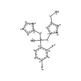 OCc1cn(CC(O)(Cn2cncn2)c2ccc(F)cc2F)nn1